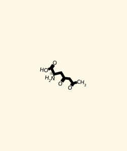 CC(=O)CC(=O)C[C@H](N)C(=O)O